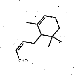 CC1=CCCC(C)(C)C1C/C=C\C=O